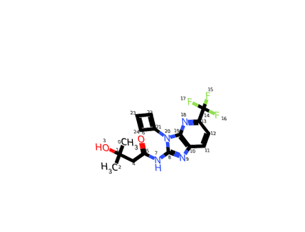 CC(C)(O)CC(=O)Nc1nc2ccc(C(F)(F)F)nc2n1C1=CC=C1